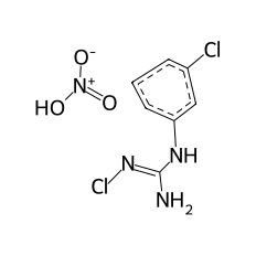 NC(=NCl)Nc1cccc(Cl)c1.O=[N+]([O-])O